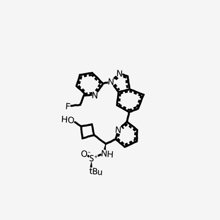 CC(C)(C)[S@@+]([O-])N[C@H](c1cccc(-c2ccc3cnn(-c4cccc(CF)n4)c3c2)n1)C1CC(O)C1